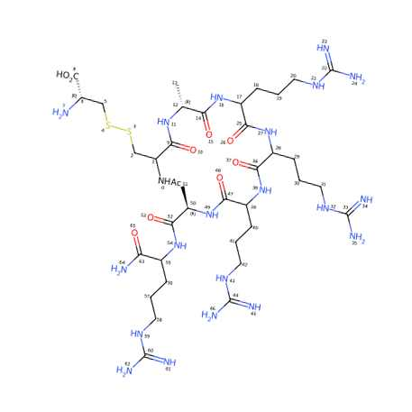 CC(=O)NC(CSSC[C@H](N)C(=O)O)C(=O)N[C@H](C)C(=O)NC(CCCNC(=N)N)C(=O)NC(CCCNC(=N)N)C(=O)NC(CCCNC(=N)N)C(=O)N[C@H](C)C(=O)NC(CCCNC(=N)N)C(N)=O